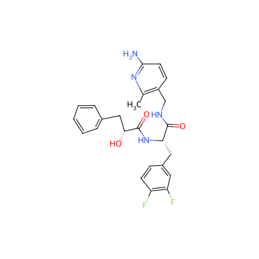 Cc1nc(N)ccc1CNC(=O)[C@H](Cc1ccc(F)c(F)c1)NC(=O)[C@H](O)Cc1ccccc1